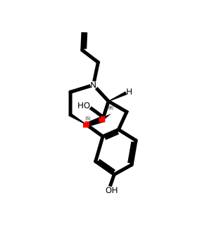 C=CCN1CC[C@]23CCCCC2(O)[C@H]1Cc1ccc(O)cc13